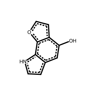 Oc1cc2cc[nH]c2c2occc12